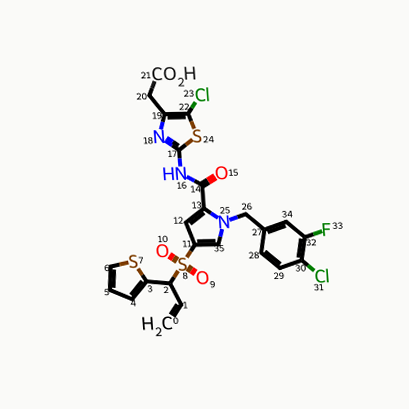 C=CC(c1cccs1)S(=O)(=O)c1cc(C(=O)Nc2nc(CC(=O)O)c(Cl)s2)n(Cc2ccc(Cl)c(F)c2)c1